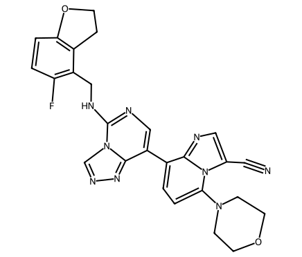 N#Cc1cnc2c(-c3cnc(NCc4c(F)ccc5c4CCO5)n4cnnc34)ccc(N3CCOCC3)n12